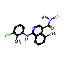 CCCN(CCC)C(=O)c1cnc(Nc2cccc(Cl)c2C)c2cccc(C)c12